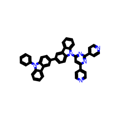 c1ccc(-n2c3ccccc3c3cc(-c4ccc5c(c4)c4ccccc4n5-c4cc(-c5ccncc5)nc(-c5ccncc5)n4)ccc32)cc1